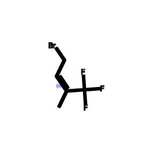 C/C(=C/CBr)C(F)(F)F